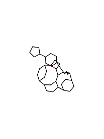 C1CCC(C2CCC(C3CCC4C5CCC(CC5)C5CCC6CC5C(C5CCC5C5CCC6CC5)C34)CC2)C1